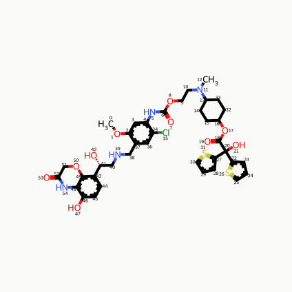 COc1cc(NC(=O)OCCN(C)C2CCC(OC(=O)C(O)(c3cccs3)c3cccs3)CC2)c(Cl)cc1CNC[C@@H](O)c1ccc(O)c2c1OCC(=O)N2